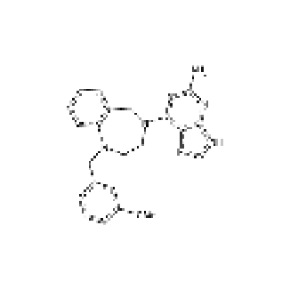 COc1cccc(CN2CCN(c3nc(N)nc4[nH]cnc34)Cc3ccccc32)c1